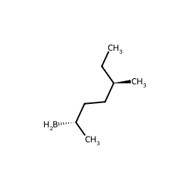 B[C@@H](C)CC[C@H](C)CC